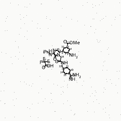 COC(=O)c1cc(N)cc(-c2cnc(NC(C)C)c(=O)n2CC(=O)NCc2ccc(C(=N)N)cc2)c1.O=C(O)C(F)(F)F